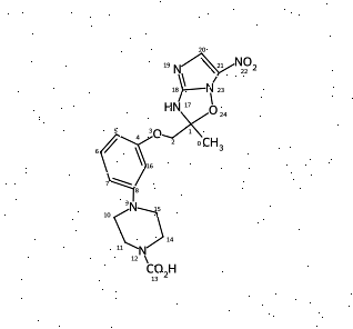 CC1(COc2cccc(N3CCN(C(=O)O)CC3)c2)Nc2ncc([N+](=O)[O-])n2O1